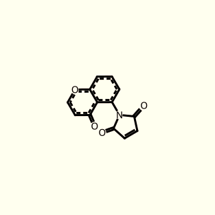 O=C1C=CC(=O)N1c1cccc2occc(=O)c12